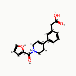 O=C(O)Cc1cccc(C2=CCN(C(=O)c3ccco3)CC2)c1